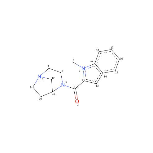 Cn1c(C(=O)N2CCN3CCC2C3)cc2ccccc21